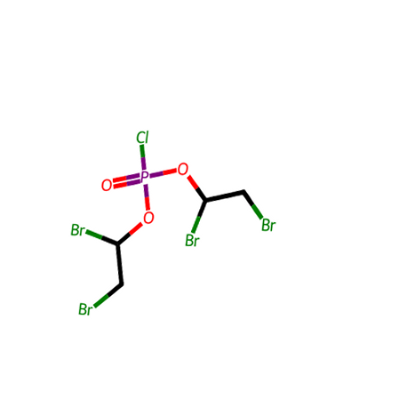 O=P(Cl)(OC(Br)CBr)OC(Br)CBr